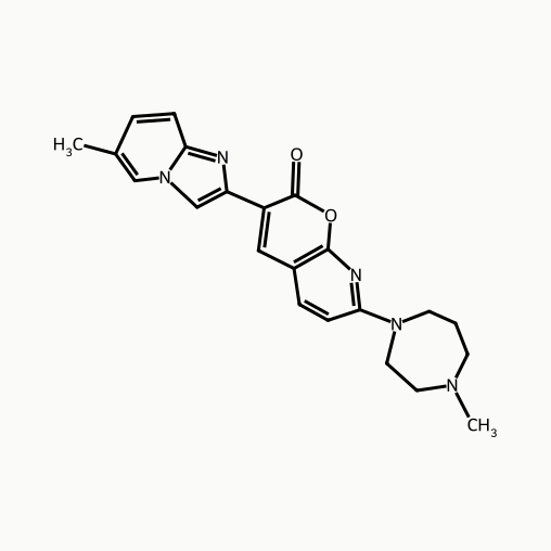 Cc1ccc2nc(-c3cc4ccc(N5CCCN(C)CC5)nc4oc3=O)cn2c1